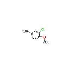 CCCCOc1ccc(C(C)(C)C)cc1Cl